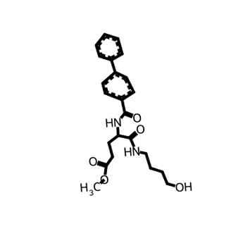 COC(=O)CCC(NC(=O)c1ccc(-c2ccccc2)cc1)C(=O)NCCCCO